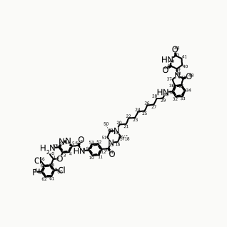 CC(Oc1cc(C(=O)Nc2ccc(C(=O)N3C[C@@H](C)N(CCCCCCCCCCNc4cccc5c4CN(C4CCC(=O)NC4=O)C5=O)[C@@H](C)C3)cc2)nnc1N)c1c(Cl)ccc(F)c1Cl